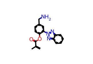 C=C(C)C(=O)Oc1ccc(CN)cc1-n1nc2ccccc2n1